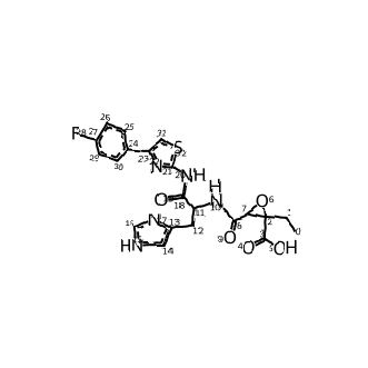 CCC1(C(=O)O)OC1C(=O)NC(Cc1c[nH]cn1)C(=O)Nc1nc(-c2ccc(F)cc2)cs1